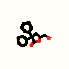 O=C1OC(CBr)CC1(c1ccccc1)c1ccccc1